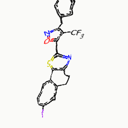 FC(F)(F)c1c(-c2ccccc2)noc1-c1nc2c(s1)-c1ccc(I)cc1CC2